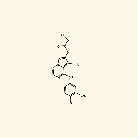 COC(=O)Oc1cn2ncnc(Nc3ccc(Br)c(C)c3)c2c1C